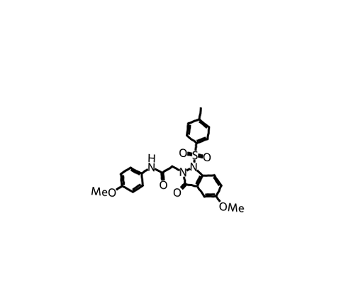 COc1ccc(NC(=O)Cn2c(=O)c3cc(OC)ccc3n2S(=O)(=O)c2ccc(C)cc2)cc1